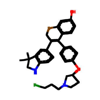 CC1(C)CNc2ccc(C3=C(c4ccc(O[C@H]5CCN(CCCF)C5)cc4)c4ccc(O)cc4SC3)cc21